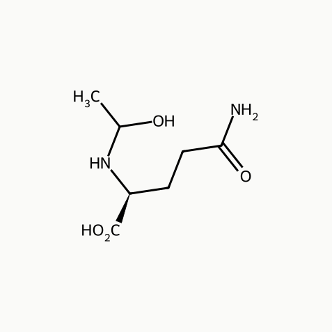 CC(O)N[C@@H](CCC(N)=O)C(=O)O